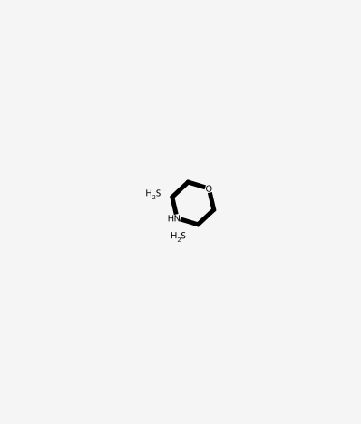 C1COCCN1.S.S